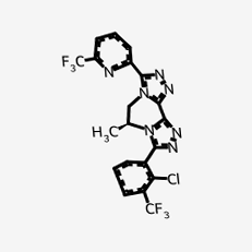 C[C@H]1Cn2c(-c3cccc(C(F)(F)F)n3)nnc2-c2nnc(-c3cccc(C(F)(F)F)c3Cl)n21